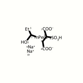 CCCCCC(O)CC.O=C([O-])CC(C(=O)[O-])S(=O)(=O)O.[Na+].[Na+]